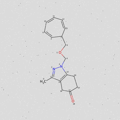 Cc1nn(COCC2C=CC=CC=C2)c2c1CC(=O)CC2